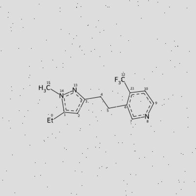 CCc1cc(CCc2cnccc2C(F)(F)F)nn1C